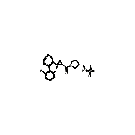 CS(=O)(=O)NC[C@H]1CCN(C(=O)[C@@H]2C[C@@]2(F)c2ccccc2-c2c(F)cccc2F)C1